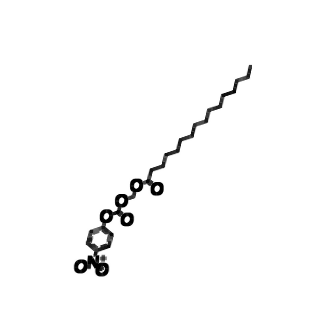 CCCCCCCCCCCCCCCC(=O)OCOC(=O)Oc1ccc([N+](=O)[O-])cc1